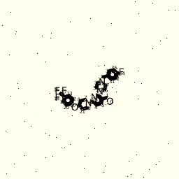 O=Cc1ccc(N2CCC(Oc3ccc(C(F)(F)F)cc3)CC2)nc1N1CCN(Cc2ccc(F)cc2)CC1